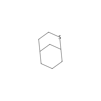 C1CC2CCSC(C1)C2